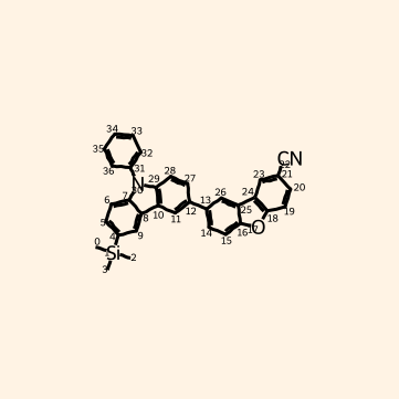 C[Si](C)(C)c1ccc2c(c1)c1cc(-c3ccc4oc5ccc(C#N)cc5c4c3)ccc1n2-c1ccccc1